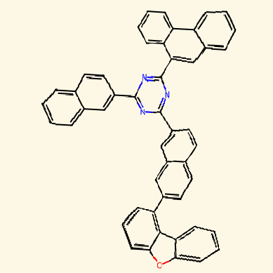 c1ccc2cc(-c3nc(-c4ccc5ccc(-c6cccc7oc8ccccc8c67)cc5c4)nc(-c4cc5ccccc5c5ccccc45)n3)ccc2c1